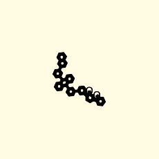 c1cc(-c2ccc3ccccc3c2)cc(-c2c3ccccc3c(-c3cccc(-c4ccc5oc6c(ccc7c8ccccc8oc76)c5c4)c3)c3ccccc23)c1